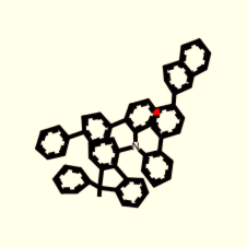 CC1(c2ccccc2)c2ccccc2-c2c(N(c3ccccc3-c3ccc(-c4ccccc4)cc3)c3ccccc3-c3ccc(-c4ccc5ccccc5c4)cc3)cccc21